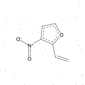 C=Cc1occc1[N+](=O)[O-]